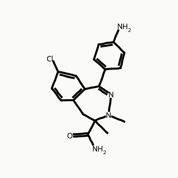 CN1N=C(c2ccc(N)cc2)c2cc(Cl)ccc2CC1(C)C(N)=O